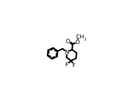 COC(=O)C1CCC(F)(F)CN1Cc1ccccc1